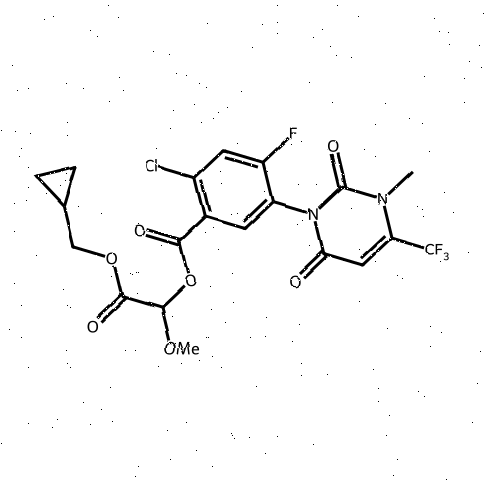 COC(OC(=O)c1cc(-n2c(=O)cc(C(F)(F)F)n(C)c2=O)c(F)cc1Cl)C(=O)OCC1CC1